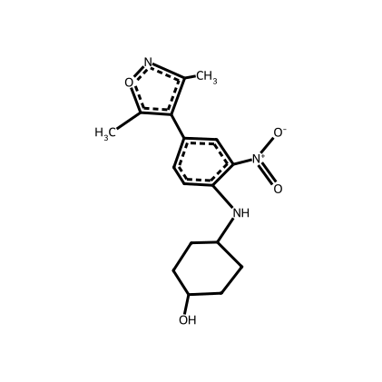 Cc1noc(C)c1-c1ccc(NC2CCC(O)CC2)c([N+](=O)[O-])c1